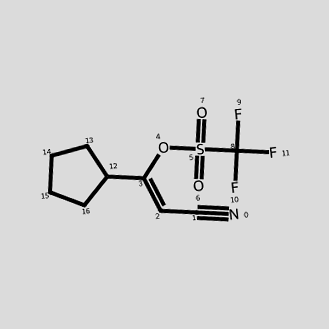 N#CC=C(OS(=O)(=O)C(F)(F)F)C1CCCC1